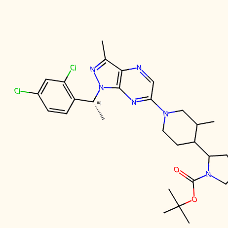 Cc1nn([C@H](C)c2ccc(Cl)cc2Cl)c2nc(N3CCC(C4CCCN4C(=O)OC(C)(C)C)C(C)C3)cnc12